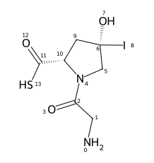 NCC(=O)N1C[C@](O)(I)C[C@H]1C(=O)S